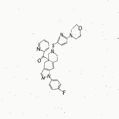 O=C(c1ccccn1)C12Cc3cnn(-c4ccc(F)cc4)c3C=C1CCN(Sc1ccc(N3CCOCC3)nc1)C2